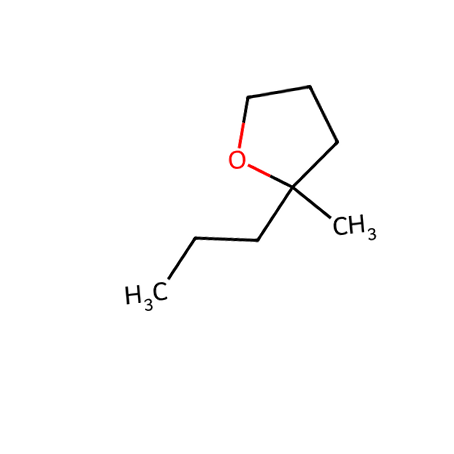 CCCC1(C)CCCO1